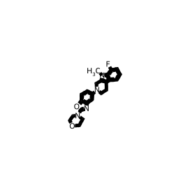 Cn1c2c(c3cccc(F)c31)CCN(c1ccc3oc(N4CCOCC4)nc3c1)C2